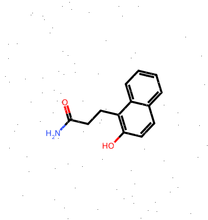 NC(=O)CCc1c(O)ccc2ccccc12